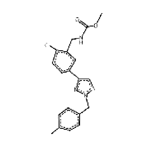 COC(=O)NCc1cc(-c2cnn(Cc3ccc(C)cc3)n2)ccc1Cl